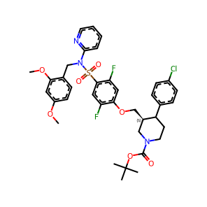 COc1ccc(CN(c2ccccn2)S(=O)(=O)c2cc(F)c(OC[C@@H]3CN(C(=O)OC(C)(C)C)CCC3c3ccc(Cl)cc3)cc2F)c(OC)c1